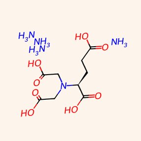 N.N.N.N.O=C(O)CC[C@@H](C(=O)O)N(CC(=O)O)CC(=O)O